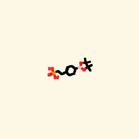 CC1(C)OB(C2CC=C(CCP(=O)(O)O)CC2)OC1(C)C